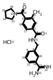 Cc1cc(C(=O)NCc2cccc(C(=N)N)c2)ccc1C(=O)N1CCCC1.Cl